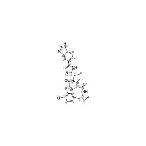 O=C1NC2(CC2)Cc2ccc(Cl)c(F)c2-c2cc(=O)n3c(c21)CC[C@H]3c1ncc(-c2ccc3[nH]cnc3c2)[nH]1